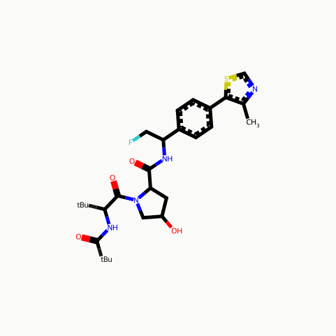 Cc1ncsc1-c1ccc(C(CF)NC(=O)C2CC(O)CN2C(=O)C(NC(=O)C(C)(C)C)C(C)(C)C)cc1